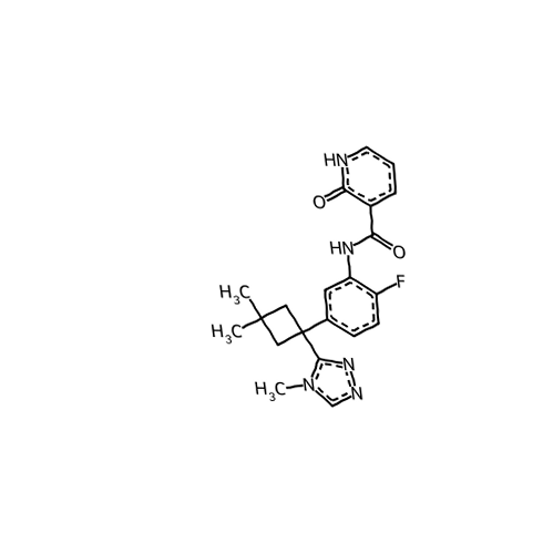 Cn1cnnc1C1(c2ccc(F)c(NC(=O)c3ccc[nH]c3=O)c2)CC(C)(C)C1